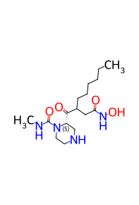 CCCCCCC(CC(=O)NO)C(=O)[C@@H]1CNCCN1C(=O)NC